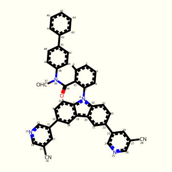 Cc1cccc(-n2c3ccc(-c4cncc(C#N)c4)cc3c3cc(-c4cncc(C#N)c4)ccc32)c1C(=O)N(C=O)c1ccc(-c2ccccc2)cc1